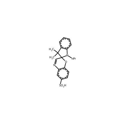 CCCN1c2ccccc2C(C)(C)C12C=Nc1cc(S(=O)(=O)O)ccc1O2